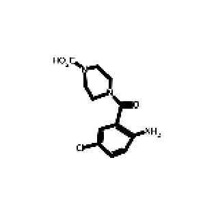 Nc1ccc(Cl)cc1C(=O)N1CCN(C(=O)O)CC1